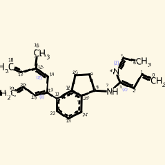 C=C/C=C(\N=C/C)NC1CCc2c(C(/C=C(/C)C=C)=C/C=C)cccc21